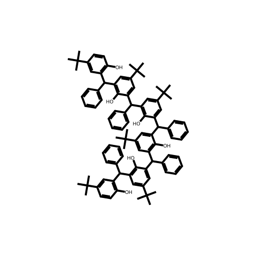 CC(C)(C)c1ccc(O)c(C(c2ccccc2)c2cc(C(C)(C)C)cc(C(c3ccccc3)c3cc(C(C)(C)C)cc(C(c4ccccc4)c4cc(C(C)(C)C)cc(C(c5ccccc5)c5cc(C(C)(C)C)cc(C(c6ccccc6)c6cc(C(C)(C)C)ccc6O)c5O)c4O)c3O)c2O)c1